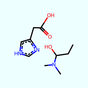 CCC(O)N(C)C.O=C(O)Cc1c[nH]cn1